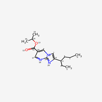 CCCC(CC)c1cn2cc(C(=O)OC(C)C)cnc2n1